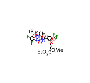 CCOC(=O)C(CCCOc1cc(-c2nc(C(=O)NCc3ccc(F)cc3F)c(C(C)NC(=O)OC(C)(C)C)o2)ccc1OC(F)F)OC